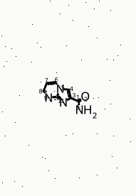 NC(=O)c1cn2cccnc2n1